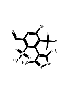 Cc1n[nH]c(C)c1-c1c(C(F)(F)F)c(O)cc(C=O)c1S(C)(=O)=O